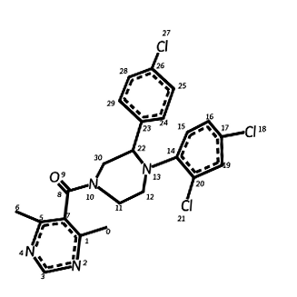 Cc1ncnc(C)c1C(=O)N1CCN(c2ccc(Cl)cc2Cl)C(c2ccc(Cl)cc2)C1